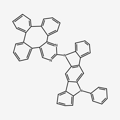 c1ccc(-n2c3ccccc3c3cc4c(cc32)c2ccccc2n4-c2ncc3c(n2)-c2ccccc2-c2ccccc2-c2ccccc2-3)cc1